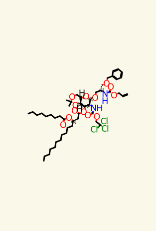 C=CCOC(=O)N[C@@H](COCc1ccccc1)CO[C@@H]1O[C@@H]2COC(C)(C)O[C@H]2[C@H](OC(=O)C[C@@H](CCCCCCCCCCC)OC(=O)CCCCCCCC)[C@H]1NC(=O)OCC(Cl)(Cl)Cl